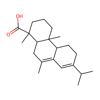 CC1=C2C=C(C(C)C)CCC2C2(C)CCCC(C)(C(=O)O)C2C1